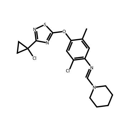 Cc1cc(N=CN2CCCCC2)c(Cl)cc1Oc1nc(C2(Cl)CC2)ns1